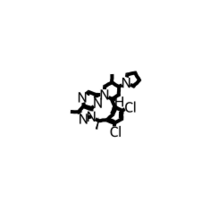 Cc1nn2c3nc(cnc13)N1CC(C)C(N3CCCC3)C[C@@H]1c1cc(c(Cl)cc1Cl)[C@H]2C